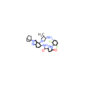 C[C@@H]1CN(c2c(NC(=O)c3ccc(=O)n(-c4c(F)cccc4F)n3)ccc3nn(C45CCC(CC4)C5)cc23)C[C@@H]1N